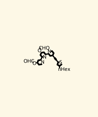 CCCCCCc1csc(C#Cc2ccnc(-c3cc(OC=O)cc(-c4cc(OC=O)ccn4)n3)c2)c1